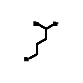 BrCCCC(Br)Br